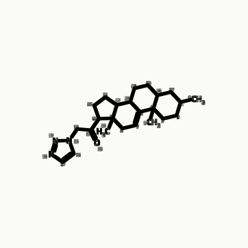 CC1CCC2(C)C3=CCC4(C)C(C(=O)Cn5ccnn5)CCC4C3CCC2C1